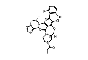 C=CC(=O)N1CCN2C(=O)c3c(N4Cc5ncnn5C[C@@H]4C)nc(-c4c(O)cccc4F)c(Cl)c3OC[C@H]2C1